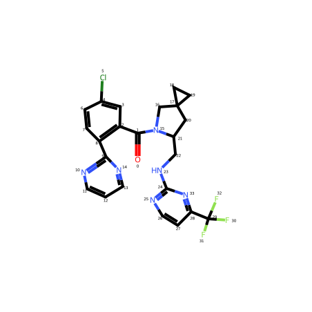 O=C(c1cc(Cl)ccc1-c1ncccn1)N1CC2(CC2)CC1CNc1nccc(C(F)(F)F)n1